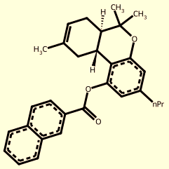 CCCc1cc(OC(=O)c2ccc3ccccc3c2)c2c(c1)OC(C)(C)[C@@H]1CC=C(C)C[C@@H]21